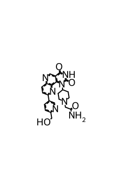 NC(=O)CN1CCC(n2c(=O)[nH]c(=O)c3cnc4ccc(-c5ccc(CO)nc5)nc4c32)CC1